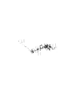 CCCCCCCCCCCCS(=O)(=O)CCOC(=O)Nc1cccc(-c2nn3nc(C(C)(C)C)c(Cl)c3[nH]2)c1